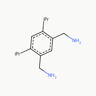 CC(C)c1cc(C(C)C)c(CN)cc1CN